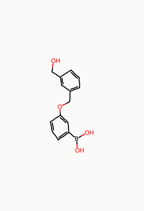 OCc1cccc(COc2cccc(B(O)O)c2)c1